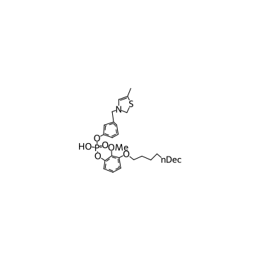 CCCCCCCCCCCCCCOc1cccc(OP(=O)(O)Oc2cccc(CN3C=C(C)SC3)c2)c1OC